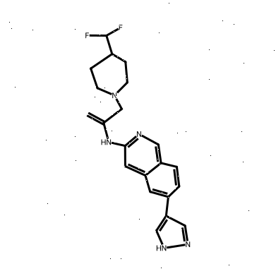 C=C(CN1CCC(C(F)F)CC1)Nc1cc2cc(-c3cn[nH]c3)ccc2cn1